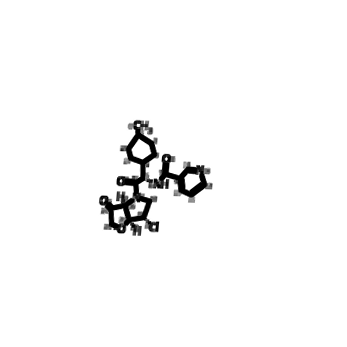 CC1CCC([C@H](NC(=O)c2cccnc2)C(=O)N2C[C@H](Cl)[C@H]3OCC(=O)[C@H]32)CC1